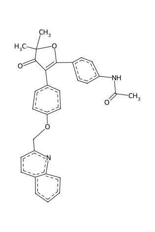 CC(=O)Nc1ccc(C2=C(c3ccc(OCc4ccc5ccccc5n4)cc3)C(=O)C(C)(C)O2)cc1